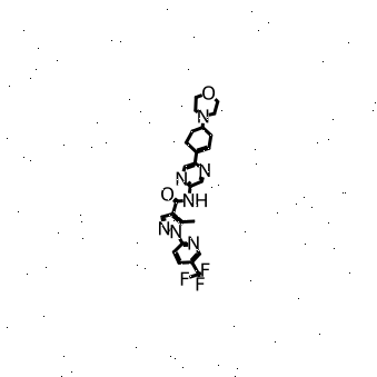 Cc1c(C(=O)Nc2cnc(C3=CCC(N4CCOCC4)CC3)cn2)cnn1-c1ccc(C(F)(F)F)cn1